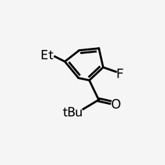 CCc1ccc(F)c(C(=O)C(C)(C)C)c1